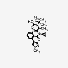 CC(c1nc2cccc(-c3cnn(C)c3)c2c(=O)n1C1CC1)N(C(=O)O)C(C)(C)C